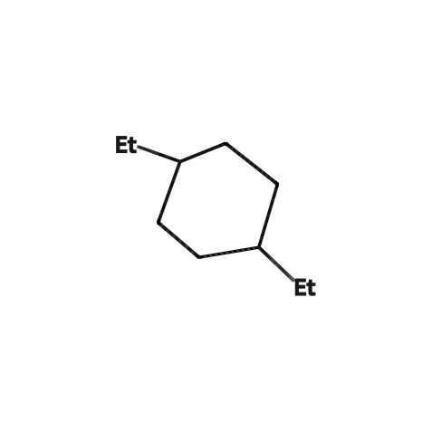 [CH2]CC1CCC(C[CH2])CC1